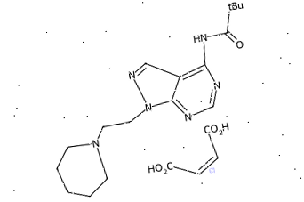 CC(C)(C)C(=O)Nc1ncnc2c1cnn2CCN1CCCCC1.O=C(O)/C=C\C(=O)O